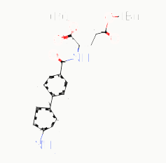 CC(C)(C)OC(=O)CC[C@H](NC(=O)c1ccc(-c2ccc(N)cc2)cc1)C(=O)OC(C)(C)C